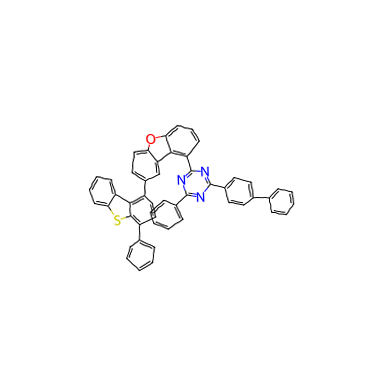 c1ccc(-c2ccc(-c3nc(-c4ccccc4)nc(-c4cccc5oc6ccc(-c7ccc(-c8ccccc8)c8sc9ccccc9c78)cc6c45)n3)cc2)cc1